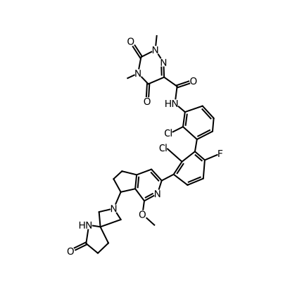 COc1nc(-c2ccc(F)c(-c3cccc(NC(=O)c4nn(C)c(=O)n(C)c4=O)c3Cl)c2Cl)cc2c1C(N1CC3(CCC(=O)N3)C1)CC2